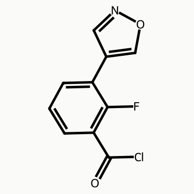 O=C(Cl)c1cccc(-c2cnoc2)c1F